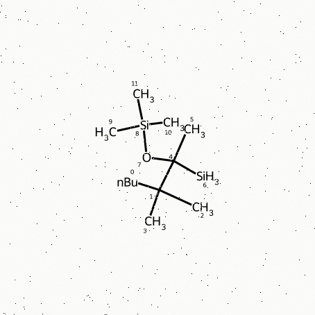 CCCCC(C)(C)C(C)([SiH3])O[Si](C)(C)C